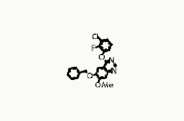 COc1cc2ncnc(Oc3cccc(Cl)c3F)c2cc1OCc1ccccc1